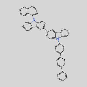 c1ccc(-c2ccc(-c3ccc(-n4c5ccccc5c5cc(-c6ccc7c(c6)c6ccccc6n7-c6cccc7ccccc67)ccc54)cc3)cc2)cc1